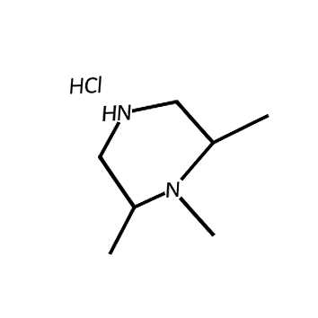 CC1CNCC(C)N1C.Cl